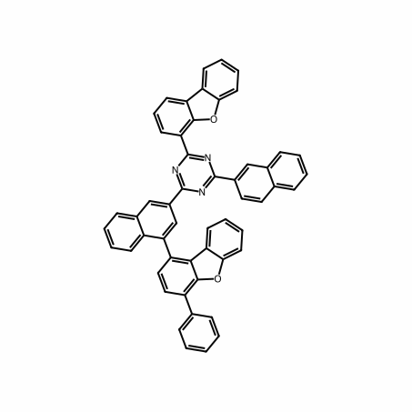 c1ccc(-c2ccc(-c3cc(-c4nc(-c5ccc6ccccc6c5)nc(-c5cccc6c5oc5ccccc56)n4)cc4ccccc34)c3c2oc2ccccc23)cc1